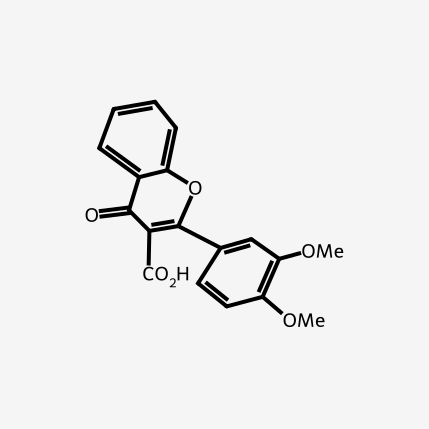 COc1ccc(-c2oc3ccccc3c(=O)c2C(=O)O)cc1OC